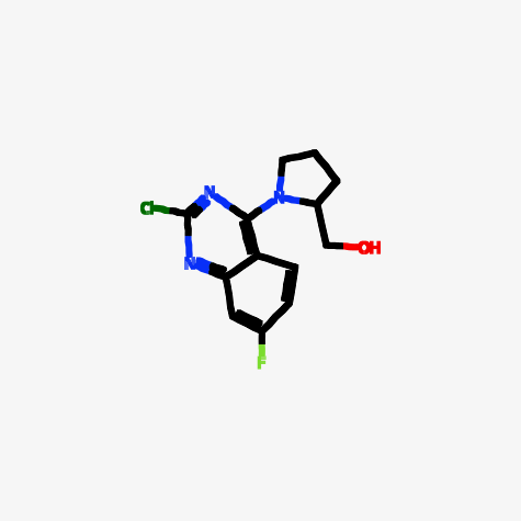 OCC1CCCN1c1nc(Cl)nc2cc(F)ccc12